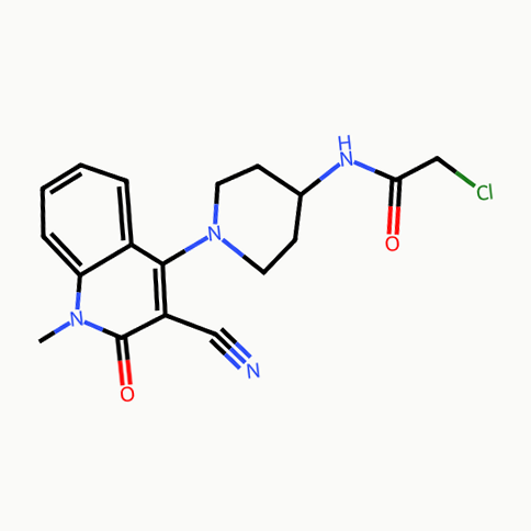 Cn1c(=O)c(C#N)c(N2CCC(NC(=O)CCl)CC2)c2ccccc21